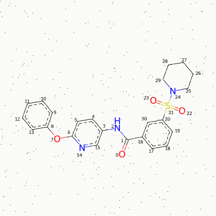 O=C(Nc1ccc(Oc2ccccc2)nc1)c1cccc(S(=O)(=O)N2CCCCC2)c1